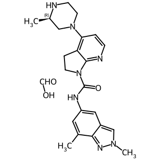 Cc1cc(NC(=O)N2CCc3c(N4CCN[C@H](C)C4)ccnc32)cc2cn(C)nc12.O=CO